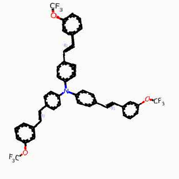 FC(F)(F)Oc1cccc(/C=C/c2ccc(N(c3ccc(/C=C/c4cccc(OC(F)(F)F)c4)cc3)c3ccc(/C=C/c4cccc(OC(F)(F)F)c4)cc3)cc2)c1